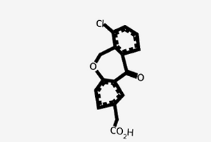 O=C(O)Cc1ccc2c(c1)C(=O)c1cccc(Cl)c1CO2